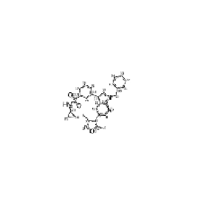 Cc1noc(C)c1-c1cnc2c(c1)c(-c1cccc(S(=O)(=O)NC3CC3)c1)cn2Cc1ccccc1